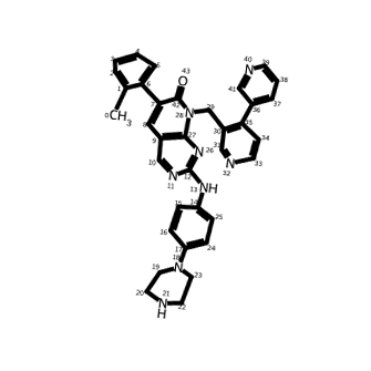 Cc1ccccc1-c1cc2cnc(Nc3ccc(N4CCNCC4)cc3)nc2n(Cc2cnccc2-c2cccnc2)c1=O